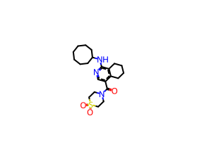 O=C(c1cnc(NC2CCCCCCC2)c2c1CCCC2)N1CCS(=O)(=O)CC1